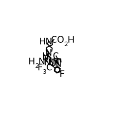 Cc1ccn(-c2cc(F)ccc2C(Oc2cc(N3CCC4(CC3)CNC(C(=O)O)C4)nc(N)n2)C(F)(F)F)n1